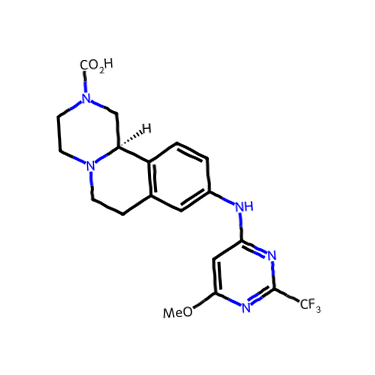 COc1cc(Nc2ccc3c(c2)CCN2CCN(C(=O)O)C[C@@H]32)nc(C(F)(F)F)n1